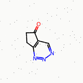 O=C1CCc2nnncc21